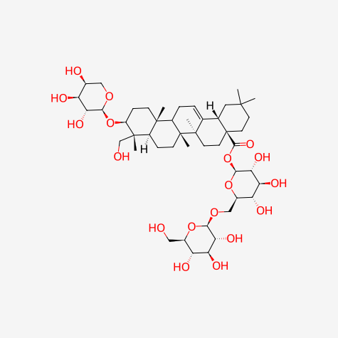 CC1(C)CC[C@]2(C(=O)O[C@@H]3O[C@H](CO[C@@H]4O[C@H](CO)[C@@H](O)[C@H](O)[C@H]4O)[C@@H](O)[C@H](O)[C@H]3O)CC[C@]3(C)C(=CCC4[C@@]5(C)CC[C@H](O[C@@H]6OC[C@H](O)[C@H](O)[C@H]6O)[C@@](C)(CO)[C@@H]5CC[C@]43C)[C@@H]2C1